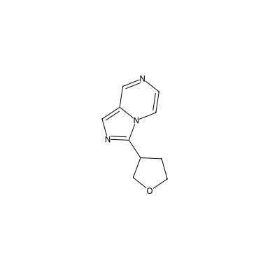 c1cn2c(C3CCOC3)ncc2cn1